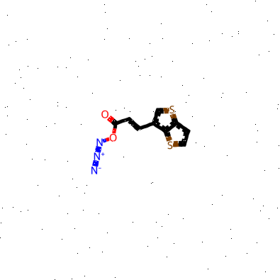 [N-]=[N+]=NOC(=O)C=Cc1csc2ccsc12